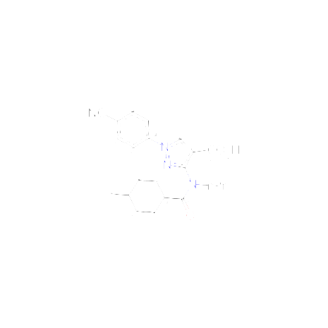 CCCN(C(=O)C1CCC(C)CC1)c1nn(-c2ccc(C#N)cc2)cc1C(=O)O